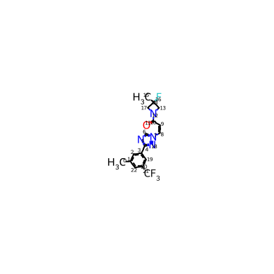 Cc1cc(-c2ncn(/C=C\C(=O)N3CC(C)(F)C3)n2)cc(C(F)(F)F)c1